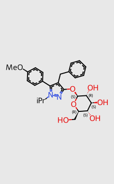 COc1ccc(-c2c(Cc3ccccc3)c(O[C@@H]3O[C@H](CO)[C@@H](O)[C@H](O)[C@H]3O)nn2C(C)C)cc1